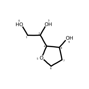 OCC(O)C1OCCC1O